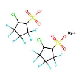 O=S(=O)([O-])C1C(Cl)C(F)(F)C(F)(F)C1(F)F.O=S(=O)([O-])C1C(Cl)C(F)(F)C(F)(F)C1(F)F.[Ba+2]